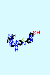 CN1C[C@@H]2C[C@H]1CN2c1nccc(Nc2cc3nc(-c4ccnc(N5CC[C@H](O)C5)c4)sc3cn2)n1